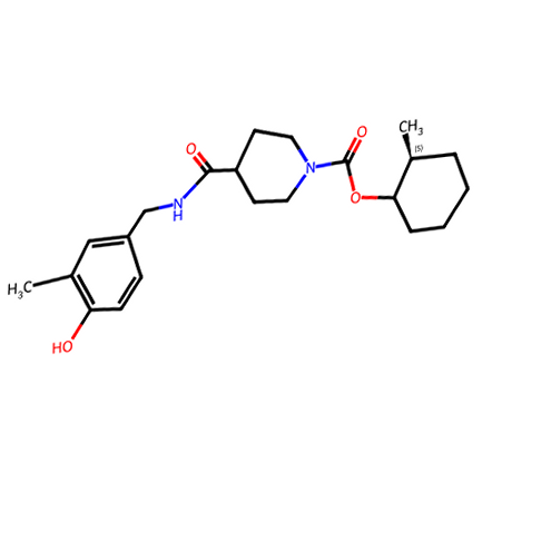 Cc1cc(CNC(=O)C2CCN(C(=O)OC3CCCC[C@@H]3C)CC2)ccc1O